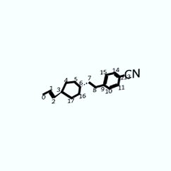 CC=C[C@H]1CC[C@H](CCc2ccc(C#N)cc2)CC1